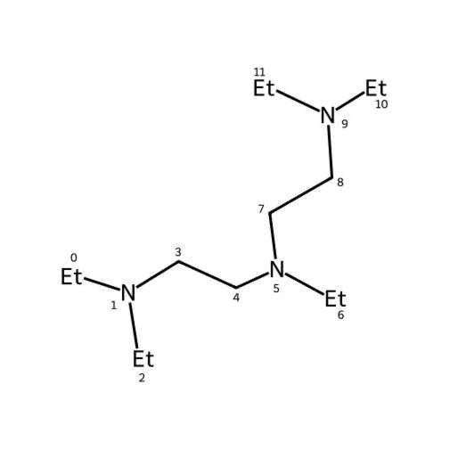 CCN(CC)CCN(CC)CCN(CC)CC